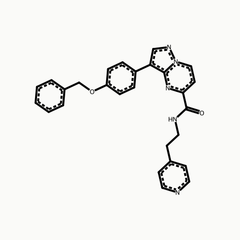 O=C(NCCc1ccncc1)c1ccn2ncc(-c3ccc(OCc4ccccc4)cc3)c2n1